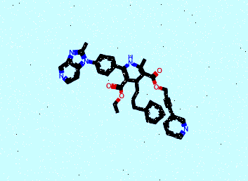 CCOC(=O)C1=C(c2ccc(-n3c(C)nc4cnccc43)cc2)NC(C)=C(C(=O)OCC#Cc2cccnc2)C1CCCc1ccccc1